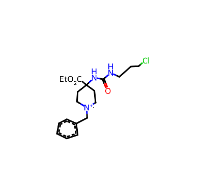 CCOC(=O)C1(NC(=O)NCCCCl)CC[N+](Cc2ccccc2)CC1